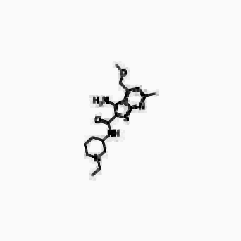 CCN1CCCC(NC(=O)c2sc3nc(C)cc(COC)c3c2N)C1